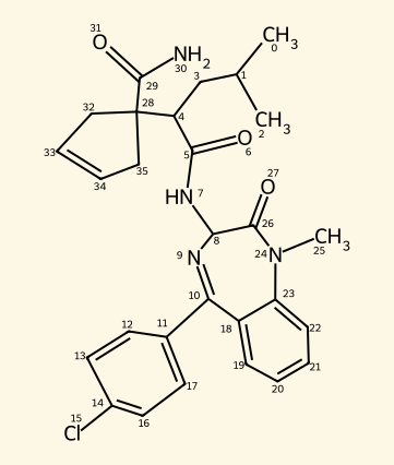 CC(C)CC(C(=O)NC1N=C(c2ccc(Cl)cc2)c2ccccc2N(C)C1=O)C1(C(N)=O)CC=CC1